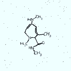 CNC(=O)C1C(C)=CC(NC)=CCN1C